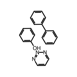 Oc1ccccc1.c1ccc(-c2ccccc2)cc1.c1cnnnc1